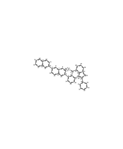 CN1c2c(-c3ccc4cc(-c5ccc6ccccc6c5)ccc4c3)cccc2-n2c(-c3ccccc3)nc3cccc1c32